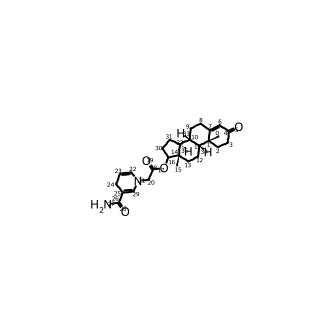 C[C@]12CCC(=O)C=C1CC[C@@H]1[C@H]2CC[C@]2(C)C(OC(=O)CN3C=CCC(C(N)=O)=C3)CC[C@@H]12